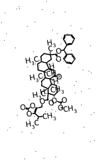 COC(=O)O[C@H]1CC[C@@]2(C)[C@@H](CC[C@]3(C)[C@@H]2C(=O)C=C2[C@@H]4C[C@@](C)(C(=O)OC(c5ccccc5)c5ccccc5)CC[C@]4(C)CC[C@]23C)[C@]1(C)C(=O)OCc1oc(=O)oc1C(C)C